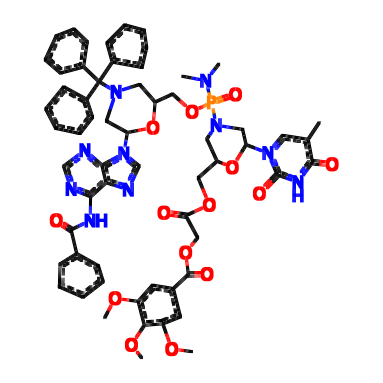 COc1cc(C(=O)OCC(=O)OCC2CN(P(=O)(OCC3CN(C(c4ccccc4)(c4ccccc4)c4ccccc4)CC(n4cnc5c(NC(=O)c6ccccc6)ncnc54)O3)N(C)C)CC(n3cc(C)c(=O)[nH]c3=O)O2)cc(OC)c1OC